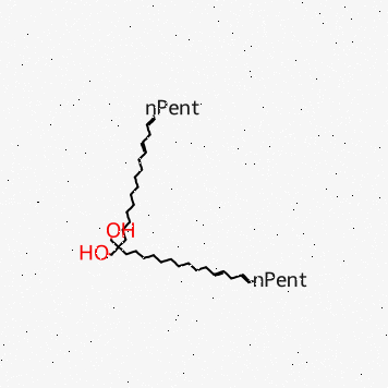 CCCCCC=CCC=CCCCCCCCCCCC(CO)(CO)CCCCCCCCCCC=CCC=CCCCCC